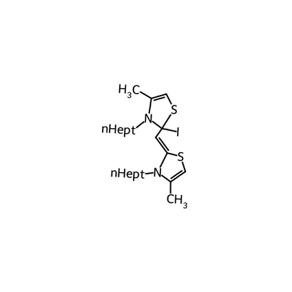 CCCCCCCN1C(C)=CSC1=CC1(I)SC=C(C)N1CCCCCCC